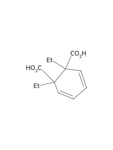 CCC1(C(=O)O)C=CC=CC1(CC)C(=O)O